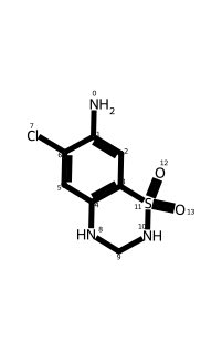 Nc1cc2c(cc1Cl)NCNS2(=O)=O